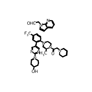 CC1CN(c2ccc(C(F)(F)F)cc2-c2cnc(N3CCC(O)CC3)nc2)CCN1C(=O)CN1CCCCC1.O=CCn1ccc2cccnc21